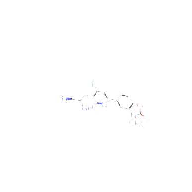 Cn1c(=O)oc2ccc(-c3cc(F)c(CC(N)C#N)cn3)cc21